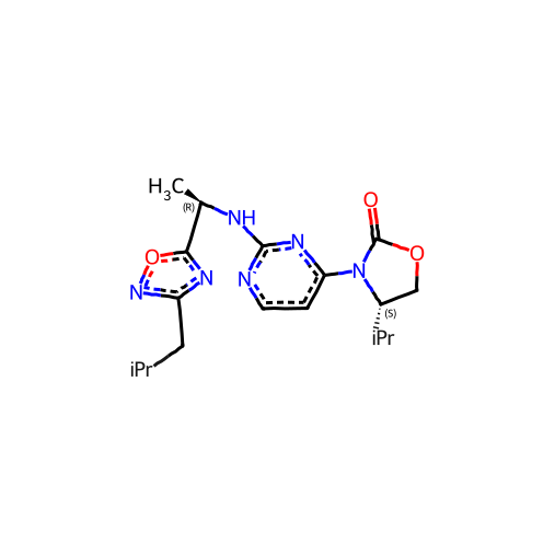 CC(C)Cc1noc([C@@H](C)Nc2nccc(N3C(=O)OC[C@@H]3C(C)C)n2)n1